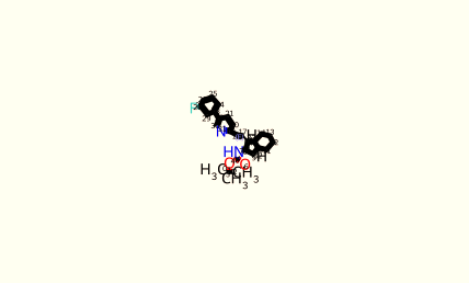 CC(C)(C)OC(=O)N[C@H]1C[C@H]2CCCC[C@H]2[C@@H]1/C=C/c1ccc(-c2cccc(F)c2)cn1